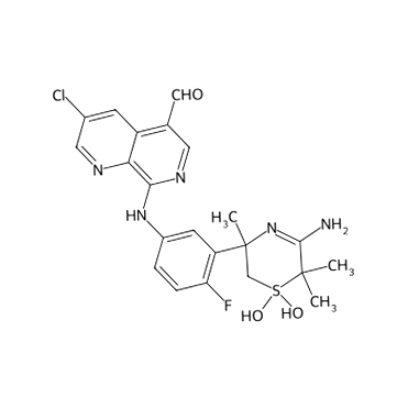 CC1(c2cc(Nc3ncc(C=O)c4cc(Cl)cnc34)ccc2F)CS(O)(O)C(C)(C)C(N)=N1